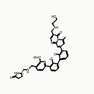 COc1nc(-c2cccc(-c3cccc(-c4cc(C)n5c(=O)c(CNCCO)cnc5c4)c3Cl)c2Cl)ccc1CNC[C@H]1CCC(=O)N1